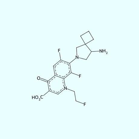 NC1CN(c2c(F)cc3c(=O)c(C(=O)O)cn(CCF)c3c2F)CC12CCC2